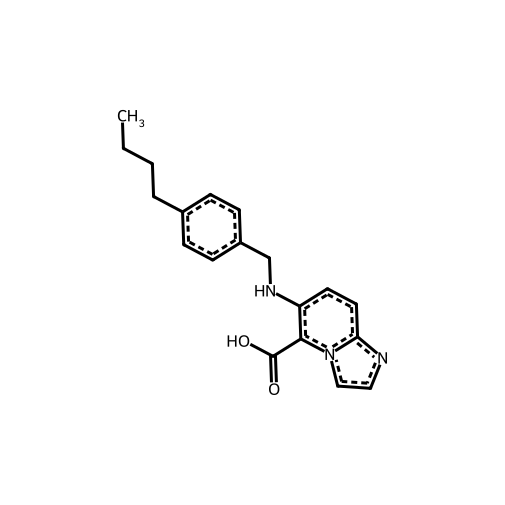 CCCCc1ccc(CNc2ccc3nccn3c2C(=O)O)cc1